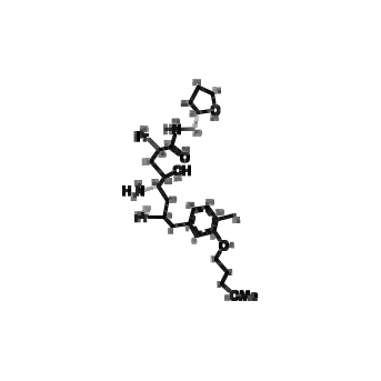 COCCCOc1cc(CC(C[C@H](N)C(O)CC(C(=O)NC[C@@H]2CCCO2)C(C)C)C(C)C)ccc1C